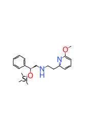 COc1cccc(CCNC[C@@H](O[Si](C)(C)C)c2ccccc2)n1